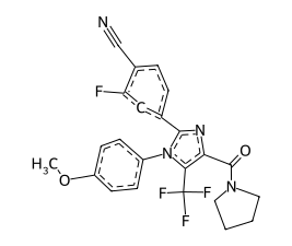 COc1ccc(-n2c(-c3ccc(C#N)c(F)c3)nc(C(=O)N3CCCC3)c2C(F)(F)F)cc1